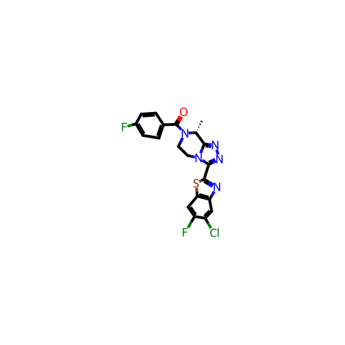 C[C@@H]1c2nnc(-c3nc4cc(Cl)c(F)cc4s3)n2CCN1C(=O)c1ccc(F)cc1